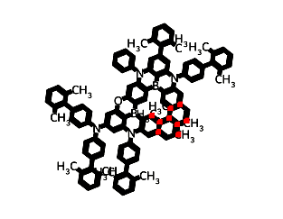 Cc1cccc(C)c1-c1ccc(N(c2ccc(-c3c(C)cccc3C)cc2)c2cc3c4c(c2)N(c2ccc(-c5c(C)cccc5C)cc2)c2ccc(-c5c(C)cccc5C)cc2B4c2cc4c(cc2O3)N(c2ccccc2)c2cc(-c3c(C)cccc3C)cc3c2B4c2cc(-c4c(C)cccc4C)ccc2N3c2ccc(-c3c(C)cccc3C)cc2)cc1